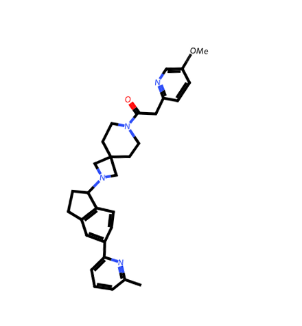 COc1ccc(CC(=O)N2CCC3(CC2)CN(C2CCc4cc(-c5cccc(C)n5)ccc42)C3)nc1